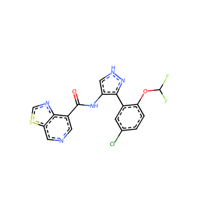 O=C(Nc1c[nH]nc1-c1cc(Cl)ccc1OC(F)F)c1cncc2scnc12